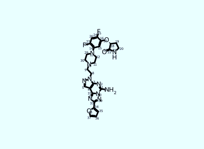 Nc1nc2c(cnn2CCN2CCN(c3cc(O[C@@H]4CCNC4=O)c(F)cc3F)CC2)c2nc(-c3ccco3)nn12